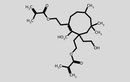 C=C(C)C(=O)OCCC1=C(C(=O)O)C(CCO)(CCOC(=O)C(=C)C)CC(C)(C)CC(C)CC1